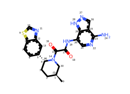 C[C@H]1CC[C@H](c2ccc3scnc3c2)N(C(=O)C(=O)Nc2cnc(N)c3cn[nH]c23)C1